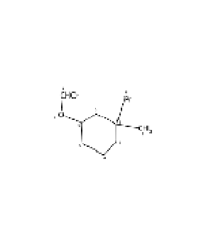 CC(C)C1(C)CCCC(O[C]=O)C1